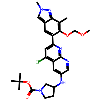 COCOc1c(-c2cc(Cl)c3cc(NC4CCN(C(=O)OC(C)(C)C)C4)cnc3n2)cc2cn(C)nc2c1C